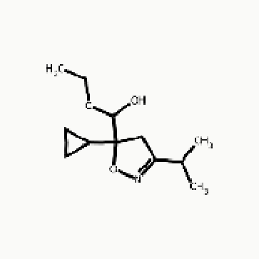 CCOC(O)C1(C2CC2)CC(C(C)C)=NO1